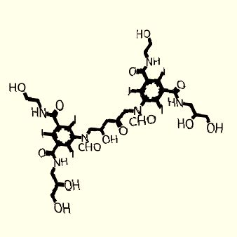 O=CN(CC(=O)CC(O)CN(C=O)c1c(I)c(C(=O)NCCO)c(I)c(C(=O)NCC(O)CO)c1I)c1c(I)c(C(=O)NCCO)c(I)c(C(=O)NCC(O)CO)c1I